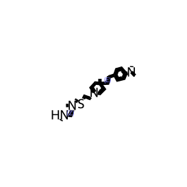 CN/C=C\N(C)CSCC[N+]1=CCC(C)(/C=C/c2ccc(N(C)C)cc2)C=C1